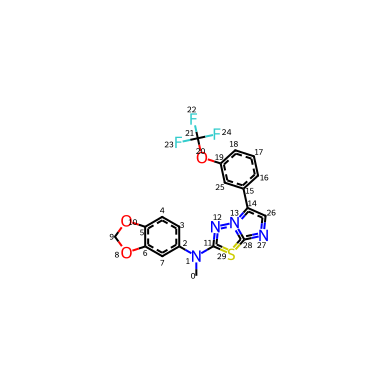 CN(c1ccc2c(c1)OCO2)c1nn2c(-c3cccc(OC(F)(F)F)c3)cnc2s1